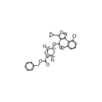 O=C(O[C@H]1C[C@H]2C[C@@H]1CN2C(=O)OCc1ccccc1)c1c(-c2c(Cl)cccc2Cl)noc1C1CC1